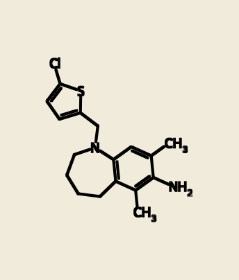 Cc1cc2c(c(C)c1N)CCCCN2Cc1ccc(Cl)s1